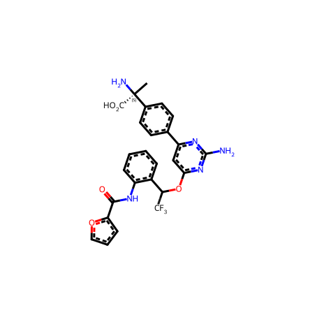 C[C@@](N)(C(=O)O)c1ccc(-c2cc(OC(c3ccccc3NC(=O)c3ccco3)C(F)(F)F)nc(N)n2)cc1